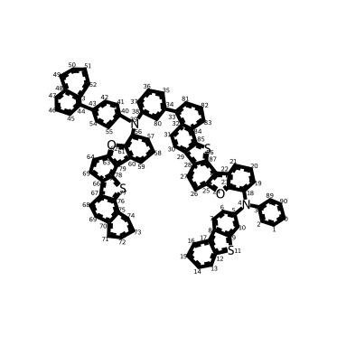 c1ccc(N(c2ccc3c(c2)sc2ccccc23)c2cccc3c2oc2ccc4c5ccc6c(-c7cccc(N(c8ccc(-c9cccc%10ccccc9%10)cc8)c8cccc9c8oc8ccc%10c%11ccc%12ccccc%12c%11sc%10c89)c7)cccc6c5sc4c23)cc1